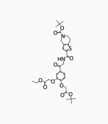 CCOC(=O)COc1cc(C(=O)CNC(=O)c2cc3c(s2)CCN(C(=O)OC(C)(C)C)C3)ccc1OCC(=O)OC(C)(C)C